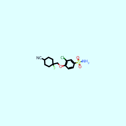 N#CC1CCC(F)(COc2ccc(S(N)(=O)=O)cc2Cl)CC1